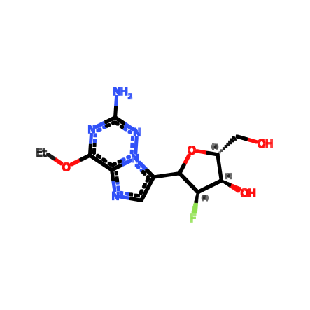 CCOc1nc(N)nn2c(C3O[C@H](CO)[C@@H](O)[C@H]3F)cnc12